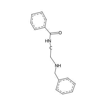 O=C(NCCNCc1ccccc1)c1ccccc1